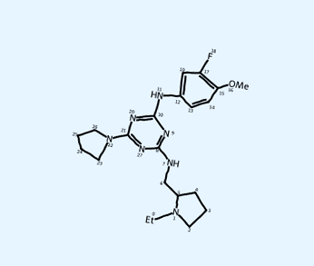 CCN1CCCC1CNc1nc(Nc2ccc(OC)c(F)c2)nc(N2CCCC2)n1